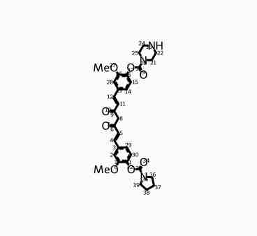 COc1cc(/C=C/C(=O)CC(=O)/C=C/c2ccc(OC(=O)N3CCNCC3)c(OC)c2)ccc1OC(=O)N1CCCC1